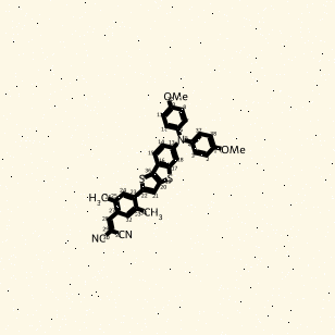 COc1ccc(N(c2ccc(OC)cc2)c2ccc3c(c2)sc2cc(-c4cc(C)c(C=C(C#N)C#N)cc4C)sc23)cc1